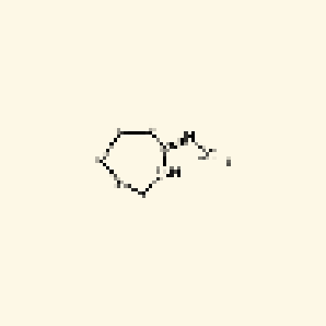 CN=C1CCCCCN1